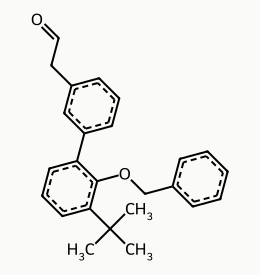 CC(C)(C)c1cccc(-c2cccc(CC=O)c2)c1OCc1ccccc1